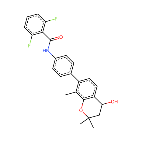 Cc1c(-c2ccc(NC(=O)c3c(F)cccc3F)cc2)ccc2c1OC(C)(C)CC2O